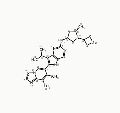 Cc1c(-c2[nH]c3ccc(N[C@H]4C[C@@H](C)N(C5COC5)C4)nc3c2C(C)C)cn2ncnc2c1C